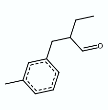 CCC(C=O)Cc1cccc(C)c1